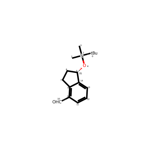 CC(C)(C)[Si](C)(C)O[C@H]1CCc2c(C=O)cccc21